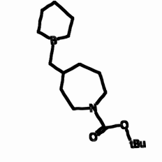 CC(C)(C)OC(=O)N1CCCC(CB2CCCCC2)CC1